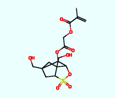 C=C(C)C(=O)OCC(=O)OC1C2OS(=O)(=O)C3CC1(CO)CC23CO